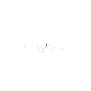 COc1ccc(-c2cc(NC(=O)Nc3cccc(C(F)(F)F)c3)[nH]n2)cc1